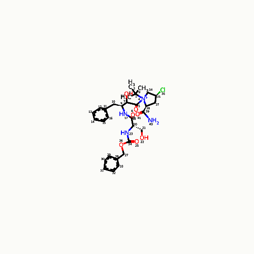 CC(C)(C)[N+]1(C(=O)C(O)[C@H](Cc2ccccc2)NC(=O)[C@H](CO)NC(=O)OCc2ccccc2)C[C@@H](Cl)C[C@H]1C(N)=O